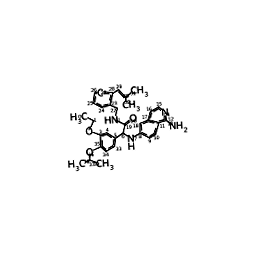 CCOc1cc(C(Nc2ccc3c(N)nccc3c2)C(=O)NCc2ccccc2C=C(C)C)ccc1OC(C)C